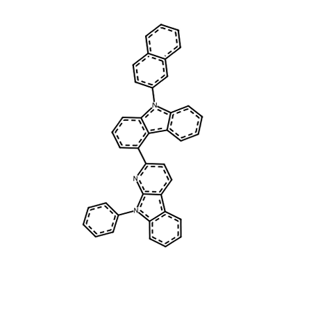 c1ccc(-n2c3ccccc3c3ccc(-c4cccc5c4c4ccccc4n5-c4ccc5ccccc5c4)nc32)cc1